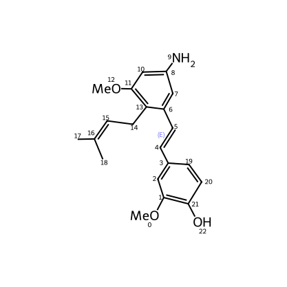 COc1cc(/C=C/c2cc(N)cc(OC)c2CC=C(C)C)ccc1O